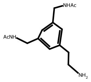 CC(=O)NCc1cc(CCN)cc(CNC(C)=O)c1